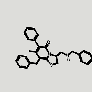 Cc1c(Cc2ccccc2)c2n(c(=O)c1-c1ccccc1)C(CNCc1ccccc1)CS2